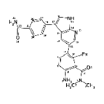 CN(C)C(=O)c1c(N)ccc(-c2cnc3[nH]cc(-c4ccc(C(N)=O)cc4)c3c2)c1F